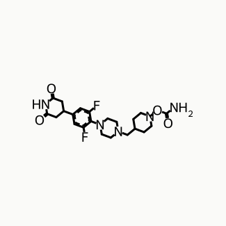 NC(=O)ON1CCC(CN2CCN(c3c(F)cc(C4CC(=O)NC(=O)C4)cc3F)CC2)CC1